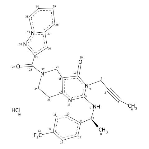 CC#CCn1c(N[C@@H](C)c2ccc(C(F)(F)F)cc2)nc2c(c1=O)CN(C(=O)c1cc3ccccn3n1)CC2.Cl